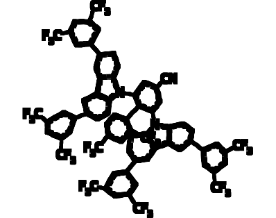 N#Cc1cc(-n2c3ccc(-c4cc(C(F)(F)F)cc(C(F)(F)F)c4)cc3c3cc(-c4cc(C(F)(F)F)cc(C(F)(F)F)c4)ccc32)c(-c2ccc(C(F)(F)F)cc2C(F)(F)F)c(-n2c3ccc(-c4cc(C(F)(F)F)cc(C(F)(F)F)c4)cc3c3cc(-c4cc(C(F)(F)F)cc(C(F)(F)F)c4)ccc32)c1